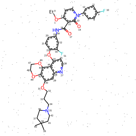 CCOc1ccn(-c2ccc(F)cc2)c(=O)c1C(=O)Nc1ccc(Oc2ccnc3cc(OCCCN4CCC(C)(C)CC4)c4c(c23)OCCO4)c(F)c1